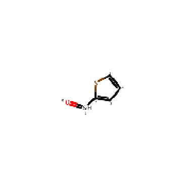 O=[SiH]c1cccs1